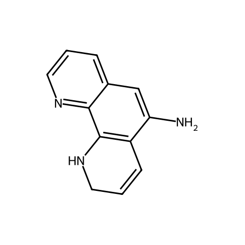 Nc1cc2cccnc2c2c1C=CCN2